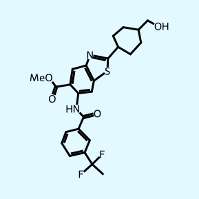 COC(=O)c1cc2nc(C3CCC(CO)CC3)sc2cc1NC(=O)c1cccc(C(C)(F)F)c1